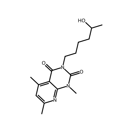 Cc1cc(C)c2c(=O)n(CCCCC(C)O)c(=O)n(C)c2n1